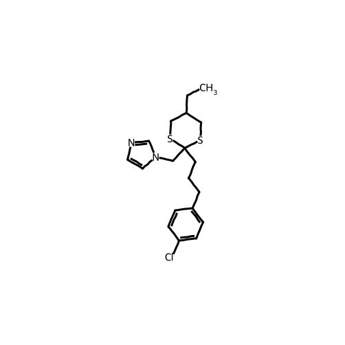 CCC1CSC(CCCc2ccc(Cl)cc2)(Cn2ccnc2)SC1